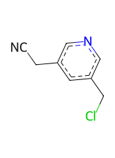 N#CCc1cncc(CCl)c1